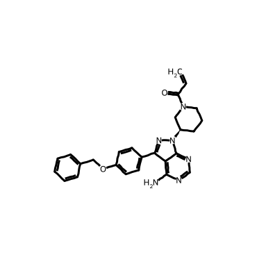 C=CC(=O)N1CCC[C@@H](n2nc(-c3ccc(OCc4ccccc4)cc3)c3c(N)ncnc32)C1